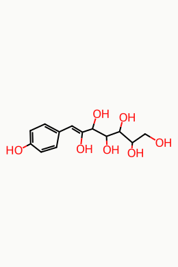 OCC(O)C(O)C(O)C(O)C(O)=Cc1ccc(O)cc1